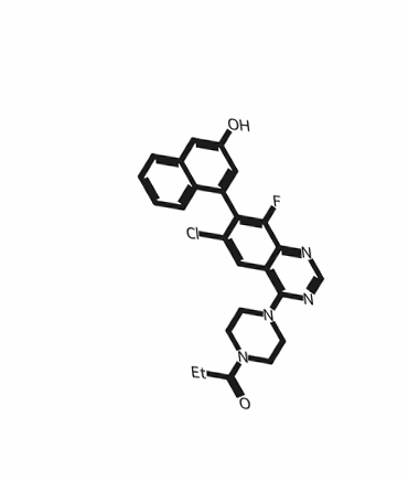 CCC(=O)N1CCN(c2ncnc3c(F)c(-c4cc(O)cc5ccccc45)c(Cl)cc23)CC1